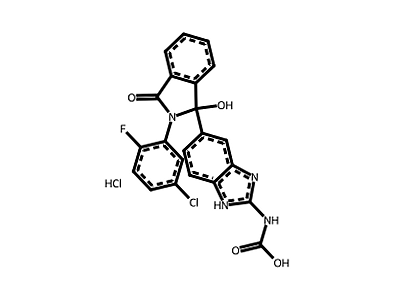 Cl.O=C(O)Nc1nc2cc(C3(O)c4ccccc4C(=O)N3c3cc(Cl)ccc3F)ccc2[nH]1